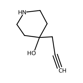 C#CCC1(O)CCNCC1